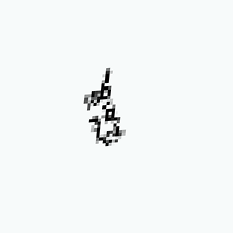 C=C(C)C(=O)OCCC(F)(F)OC(F)(F)OC(F)(F)CCOc1ccc2cc(-c3ccc(CCCCC)cc3OC(F)(F)F)sc2c1